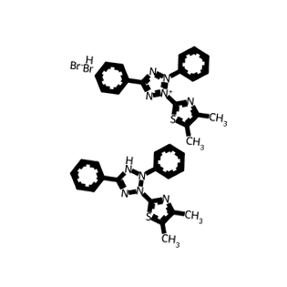 Br.Cc1nc(-[n+]2nc(-c3ccccc3)nn2-c2ccccc2)sc1C.Cc1nc(N2N=C(c3ccccc3)NN2c2ccccc2)sc1C.[Br-]